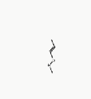 CC=CO[N]C